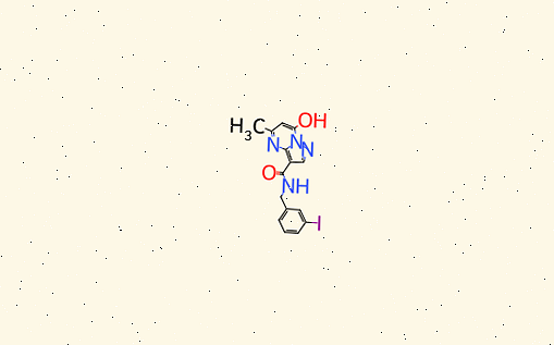 Cc1cc(O)n2ncc(C(=O)NCc3cccc(I)c3)c2n1